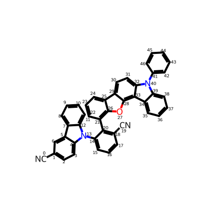 N#Cc1ccc2c(c1)c1ccccc1n2-c1cccc(C#N)c1-c1cccc2c1oc1c2ccc2c1c1ccccc1n2-c1ccccc1